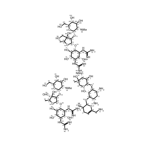 CN[C@@H]1[C@@H](O)[C@@H](O[C@@H]2[C@@H](O)[C@H](OC3OC(CN)=CCC3N)[C@@H](N)C[C@H]2N)OC[C@]1(C)O.CN[C@@H]1[C@H](O[C@H]2[C@H](O[C@H]3[C@H](O)[C@@H](O)[C@H](NC(=N)N)[C@@H](O)[C@@H]3NC(=N)N)O[C@@H](C)[C@]2(O)C=O)O[C@@H](CO)[C@H](O)[C@H]1O.CN[C@@H]1[C@H](O[C@H]2[C@H](O[C@H]3[C@H](O)[C@@H](O)[C@H](NC(=N)N)[C@@H](O)[C@@H]3NC(=N)N)O[C@@H](C)[C@]2(O)CO)O[C@@H](CO)[C@H](O)[C@H]1O